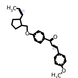 C/C=C\C1CCCC1COc1ccc(C(=O)/C=C/c2ccc(OC)cc2)cc1